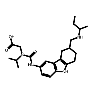 CCC(C)NCC1CCc2[nH]c3ccc(NC(=S)N(CC(=O)O)C(C)C)cc3c2C1